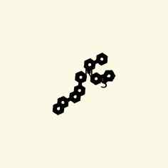 c1ccc(-c2cccc(N(c3cccc(-c4ccc5ccc(-c6ccc7ccccc7c6)cc5c4)c3)c3ccc4sc5ccccc5c4c3)c2)cc1